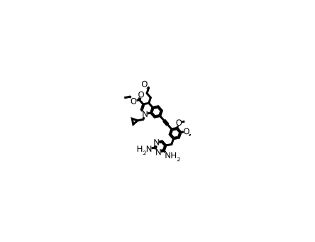 CCOC(=O)C1=CN(CC2CC2)c2cc(C#Cc3cc(Cc4cnc(N)nc4N)cc(OC)c3OC)ccc2C1CCC=O